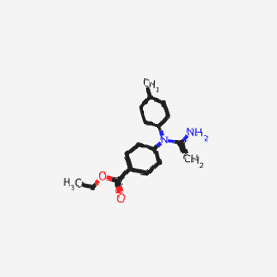 C=C(N)N(C1CCC(C)CC1)C1CCC(C(=O)OCC)CC1